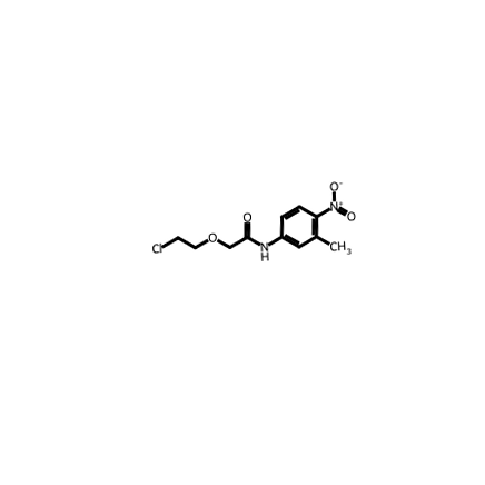 Cc1cc(NC(=O)COCCCl)ccc1[N+](=O)[O-]